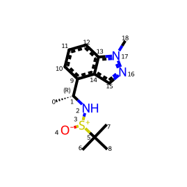 C[C@@H](N[S+]([O-])C(C)(C)C)c1cccc2c1cnn2C